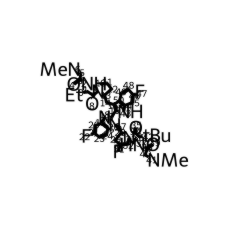 CCC(NC(=O)CNC)C(=O)N1CCCC1Cc1c(-c2nc3cc(F)ccc3n2CC2CC(F)CN2C(=O)C(NC(=O)CNC)C(C)(C)C)[nH]c2cc(F)ccc12